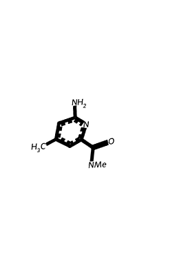 CNC(=O)c1cc(C)cc(N)n1